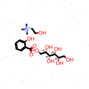 C[N+](C)(C)CCO.O=C([O-])c1ccccc1O.OC[C@@H](O)[C@@H](O)[C@H](O)[C@@H](O)CO